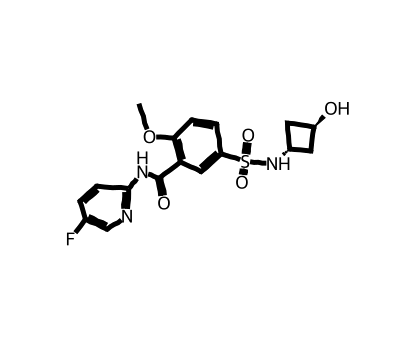 COc1ccc(S(=O)(=O)N[C@H]2C[C@H](O)C2)cc1C(=O)Nc1ccc(F)cn1